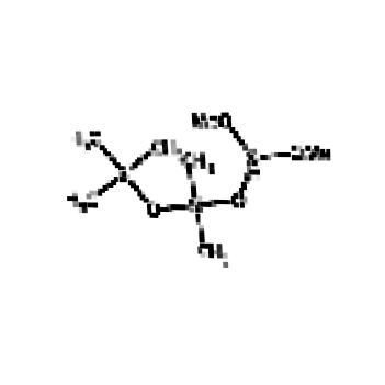 CO[SiH](OC)O[Si](C)(C)O[Si](C)(C)C